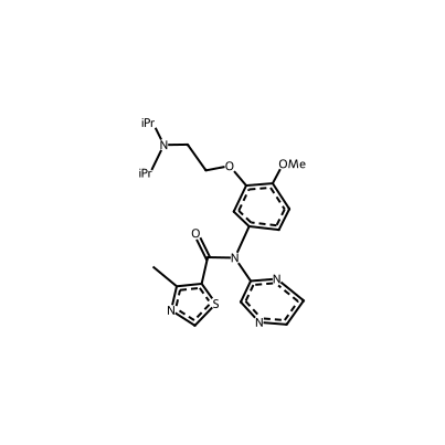 COc1ccc(N(C(=O)c2scnc2C)c2cnccn2)cc1OCCN(C(C)C)C(C)C